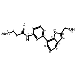 COCCC(=O)Nc1cccc(-c2cccc3cc(CO)sc23)c1